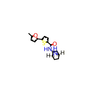 Cc1ccc(-c2ccc(C(=O)N[C@@H]3C[C@H]4CC[C@@H]3N4)s2)o1